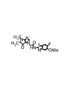 COc1cc2nc(NC(=O)Cn3cnc4c3C(=O)C(C)N4C)sc2cc1F